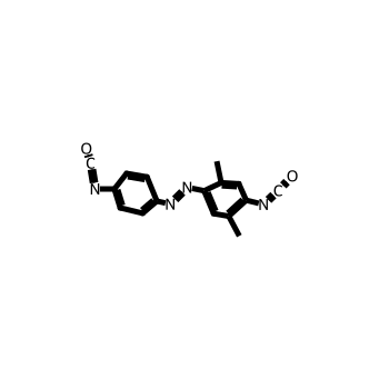 Cc1cc(/N=N/c2ccc(N=C=O)cc2)c(C)cc1N=C=O